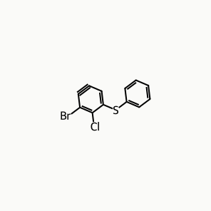 Clc1c(Br)c#ccc1Sc1ccccc1